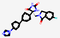 O=C1NC(=O)[C@](CN2Cc3ccc(F)cc3C2=O)(c2ccc(-c3ccc(-n4ccnc4)cc3)cc2)N1